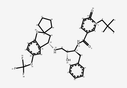 CC(C)(C)Cn1cc(C(=O)N[C@@H](Cc2ccccc2)[C@H](O)CN[C@H]2CC3(CCCC3)Oc3ccc(OC(F)(F)F)cc32)ccc1=O